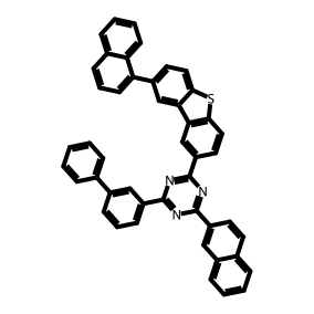 c1ccc(-c2cccc(-c3nc(-c4ccc5ccccc5c4)nc(-c4ccc5sc6ccc(-c7cccc8ccccc78)cc6c5c4)n3)c2)cc1